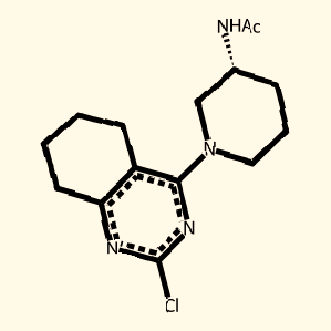 CC(=O)N[C@@H]1CCCN(c2nc(Cl)nc3c2CCCC3)C1